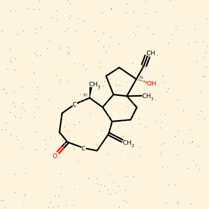 C#C[C@]1(O)CCC2C3C(CCC21C)C(=C)CCC(=O)CCC[C@H]3C